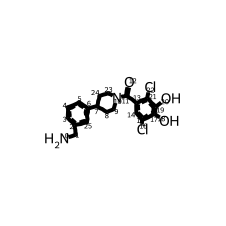 NCc1cccc(C2CCN(C(=O)c3cc(Cl)c(O)c(O)c3Cl)CC2)c1